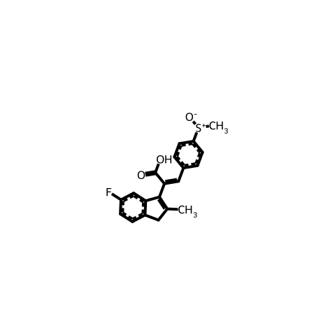 CC1=C(/C(=C/c2ccc([S+](C)[O-])cc2)C(=O)O)c2cc(F)ccc2C1